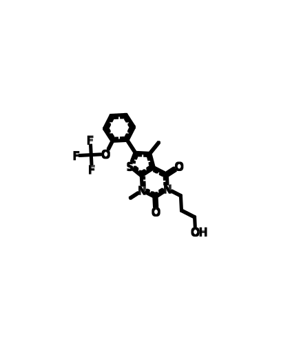 Cc1c(-c2ccccc2OC(F)(F)F)sc2c1c(=O)n(CCCO)c(=O)n2C